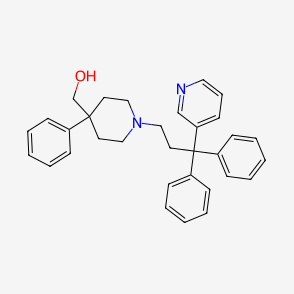 OCC1(c2ccccc2)CCN(CCC(c2ccccc2)(c2ccccc2)c2cccnc2)CC1